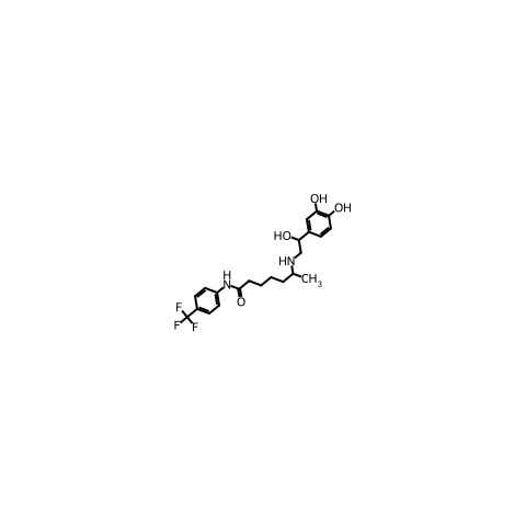 CC(CCCCC(=O)Nc1ccc(C(F)(F)F)cc1)NCC(O)c1ccc(O)c(O)c1